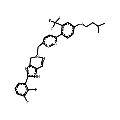 CC(C)CCOc1ccc(-c2ccc(CN3Cc4nc(-c5cccc(F)c5F)[nH]c4C=N3)nn2)c(C(F)(F)F)c1